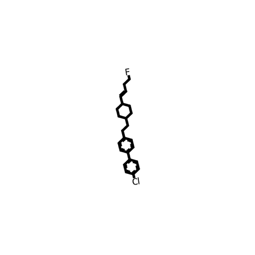 FCCC=CC1CCC(CCc2ccc(-c3ccc(Cl)cc3)cc2)CC1